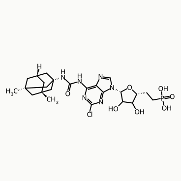 C[C@]12C[C@@H]3C[C@](C)(C1)C[C@@](NC(=O)Nc1nc(Cl)nc4c1ncn4[C@@H]1O[C@H](CCP(=O)(O)O)C(O)C1O)(C3)C2